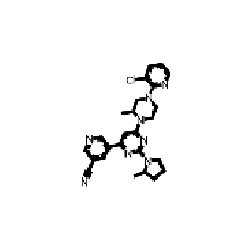 CC1CN(c2ncccc2Cl)CCN1c1cc(-c2cncc(C#N)c2)nc(N2CCCC2C)n1